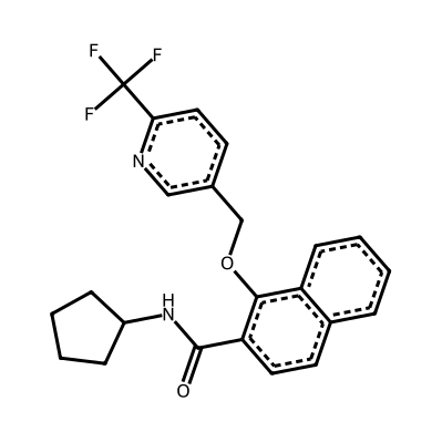 O=C(NC1CCCC1)c1ccc2ccccc2c1OCc1ccc(C(F)(F)F)nc1